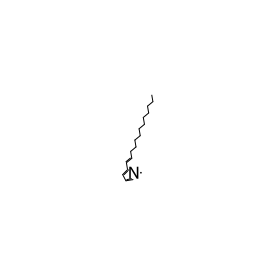 CCCCCCCCCCCC=CC1=CC=C[N]1